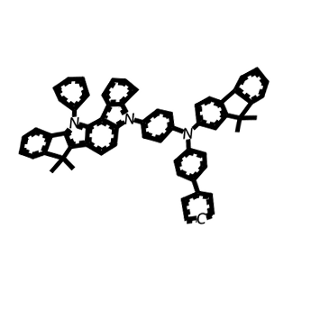 CC1(C)c2ccccc2-c2ccc(N(c3ccc(-c4ccccc4)cc3)c3ccc(-n4c5ccccc5c5c6c(ccc54)c4c(n6-c5ccccc5)-c5ccccc5C4(C)C)cc3)cc21